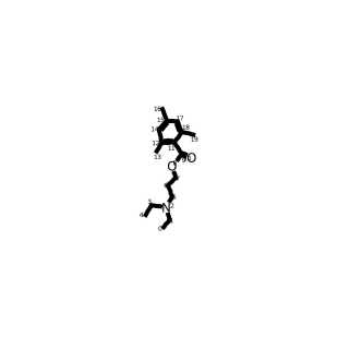 CCN(CC)CCCOC(=O)c1c(C)cc(C)cc1C